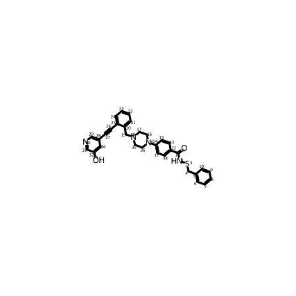 O=C(NSCc1ccccc1)c1ccc(N2CCN(Cc3ccccc3C#Cc3cncc(O)c3)CC2)cc1